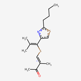 CCCCc1nc(C(S/C=C(\C)C(C)=O)=C(C)C)cs1